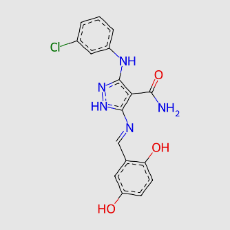 NC(=O)c1c(Nc2cccc(Cl)c2)n[nH]c1/N=C/c1cc(O)ccc1O